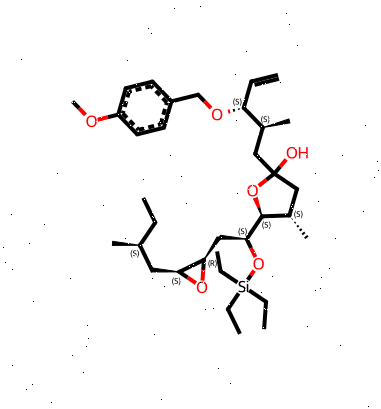 C=C[C@@H](OCc1ccc(OC)cc1)[C@@H](C)CC1(O)C[C@H](C)[C@@H]([C@H](C[C@H]2O[C@H]2C[C@@H](C)CC)O[Si](CC)(CC)CC)O1